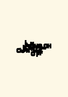 O=C(n1cnc2c(I)nc(CCl)nc21)C(F)(F)[C@H](F)[C@H](O)CO